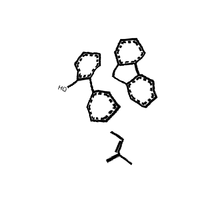 CC=C(C)C.Oc1ccccc1-c1ccccc1.c1ccc2c(c1)Cc1ccccc1-2